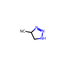 N#CC1CNN=N1